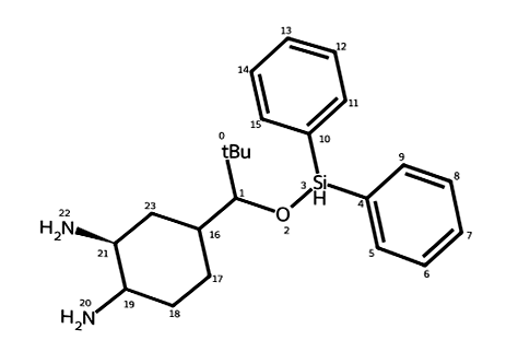 CC(C)(C)C(O[SiH](c1ccccc1)c1ccccc1)C1CCC(N)[C@@H](N)C1